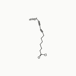 CCCCCCCC#CC#CCCCCCCC(=O)Cl